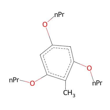 CCCOc1cc(OCCC)c(C)c(OCCC)c1